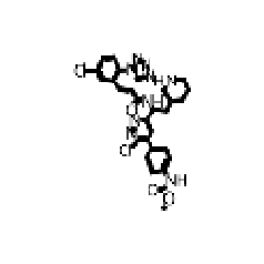 COC(=O)Nc1ccc(-c2cc(C(CC3CCCNC3)NC(=O)C=Cc3cc(Cl)ccc3-n3cnnn3)nnc2Cl)cc1